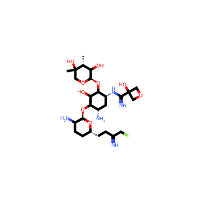 C[C@@H]1C(O)[C@@H](OC2C(O)C(O[C@H]3O[C@H](CCC(=N)CF)CCC3N)[C@@H](N)C[C@H]2NC(=N)C2(O)COC2)OCC1(C)O